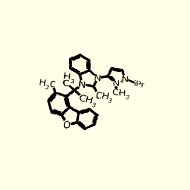 Cc1ccc2oc3ccccc3c2c1C(C)(C)N1c2ccccc2N(c2ccn(C(C)C)[n+]2C)C1C